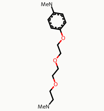 CNCCOCCOCCOc1ccc(NC)cc1